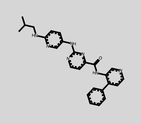 CC(C)CNc1ccc(Nc2nccc(C(=O)Nc3cnccc3-c3ccccc3)n2)cn1